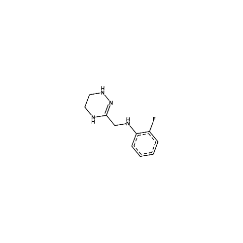 Fc1ccccc1NCC1=NNCCN1